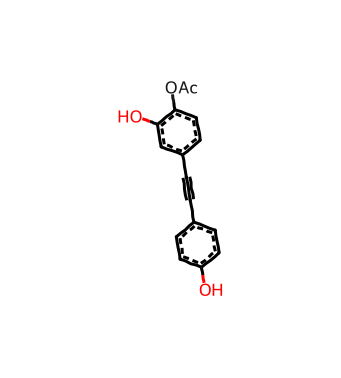 CC(=O)Oc1ccc(C#Cc2ccc(O)cc2)cc1O